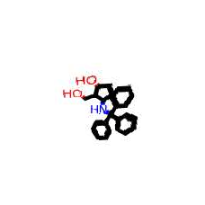 OCC1C(O)CCC1NC(c1ccccc1)(c1ccccc1)c1ccccc1